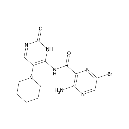 Nc1ncc(Br)nc1C(=O)Nc1[nH]c(=O)ncc1N1CCCCC1